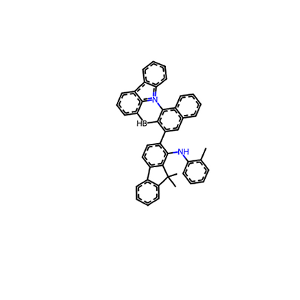 Cc1ccccc1Nc1c(-c2cc3ccccc3c3c2Bc2cccc4c5ccccc5n-3c24)ccc2c1C(C)(C)c1ccccc1-2